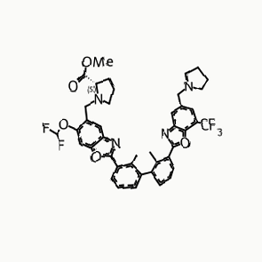 COC(=O)[C@@H]1CCCN1Cc1cc2nc(-c3cccc(-c4cccc(-c5nc6cc(CN7CCCC7)cc(C(F)(F)F)c6o5)c4C)c3C)oc2cc1OC(F)F